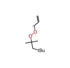 C=C[CH]OOC(C)(C)CC(C)(C)C